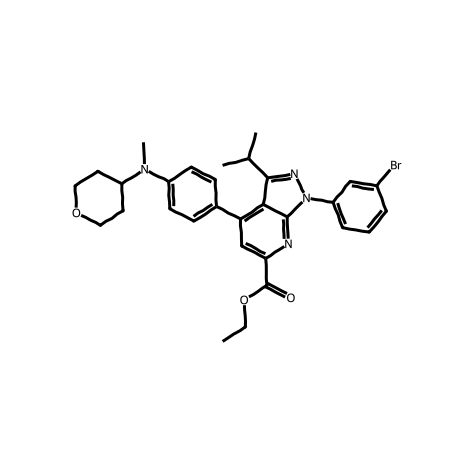 CCOC(=O)c1cc(-c2ccc(N(C)C3CCOCC3)cc2)c2c(C(C)C)nn(-c3cccc(Br)c3)c2n1